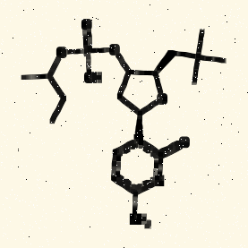 CCC(C)OP(=O)(O)OC1C[C@H](n2ccc(N)nc2=O)O[C@@H]1CC(C)(C)C